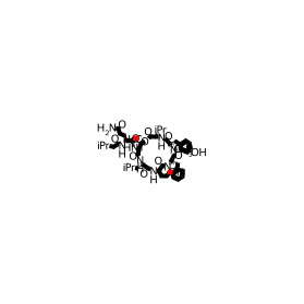 CC(C)CC(=O)N[C@@H](CCC(N)=O)C(=O)N[C@@H]1C(=O)N[C@@H](CC(C)C)C(=O)NC2CC[C@H](O)N(C2=O)[C@@H](Cc2ccccc2)C(=O)N(C)[C@@H](Cc2ccc(O)cc2)C(=O)N[C@@H](C(C)C)C(=O)O[C@@H]1C